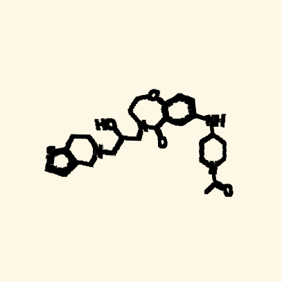 CC(=O)N1CCC(Nc2ccc3c(c2)C(=O)N(C[C@H](O)CN2CCc4sccc4C2)CCO3)CC1